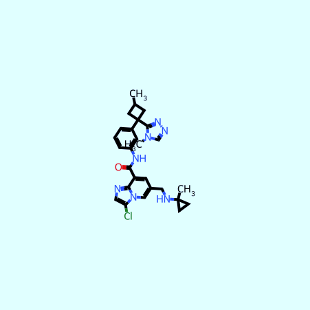 CC1CC(c2cccc(NC(=O)c3cc(CNC4(C)CC4)cn4c(Cl)cnc34)c2)(c2nncn2C)C1